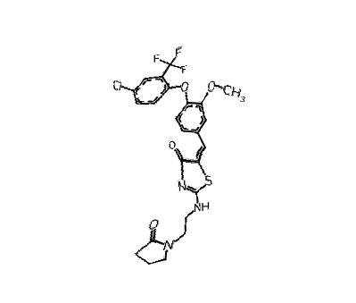 COc1cc(C=C2SC(NCCN3CCCC3=O)=NC2=O)ccc1Oc1ccc(Cl)cc1C(F)(F)F